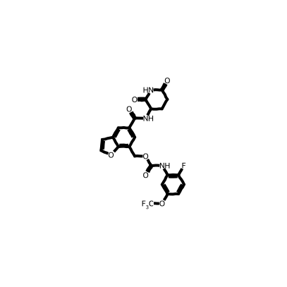 O=C1CCC(NC(=O)c2cc(COC(=O)Nc3cc(OC(F)(F)F)ccc3F)c3occc3c2)C(=O)N1